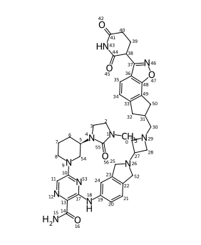 CN1CCN([C@@H]2CCCN(c3cnc(C(N)=O)c(Nc4ccc5c(c4)CN(C4CN(CC6Cc7ccc8c(C9CCC(=O)NC9=O)noc8c7C6)C4)C5)n3)C2)C1=O